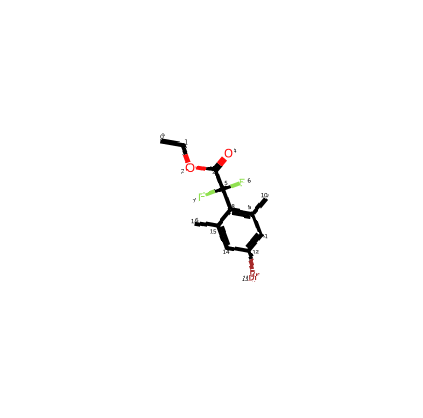 CCOC(=O)C(F)(F)c1c(C)cc(Br)cc1C